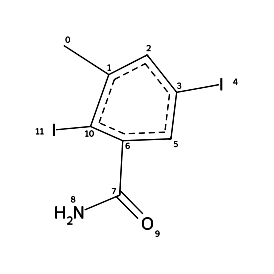 Cc1cc(I)cc(C(N)=O)c1I